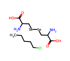 CCCCCCl.NC(C[Se][Se]CC(N)C(=O)O)C(=O)O